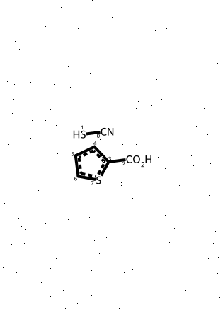 N#CS.O=C(O)c1cccs1